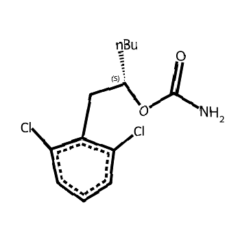 CCCC[C@@H](Cc1c(Cl)cccc1Cl)OC(N)=O